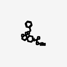 CC(C)(C)OC(=O)N1CC[C@]2(CCOC2=O)[C@H](OCc2ccccc2)C1